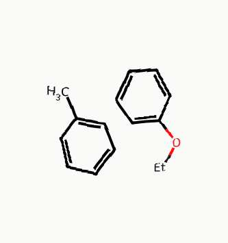 CCOc1ccccc1.Cc1ccccc1